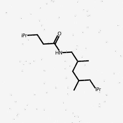 CC(C)CCC(=O)NCC(C)CC(C)CC(C)C